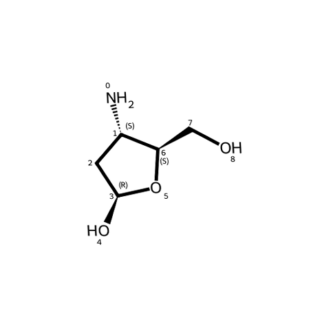 N[C@H]1C[C@H](O)O[C@@H]1CO